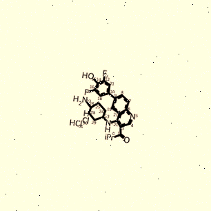 CC(C)C(=O)c1cnc2ccc(-c3cc(F)c(O)c(F)c3)cc2c1NC1CCC(N)CC1.Cl.Cl